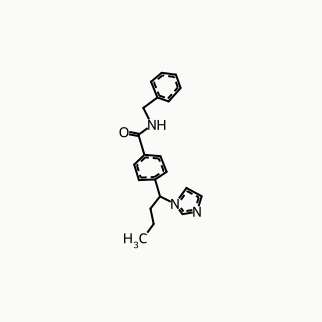 CCCC(c1ccc(C(=O)NCc2ccccc2)cc1)n1ccnc1